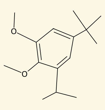 COc1cc(C(C)(C)C)cc(C(C)C)c1OC